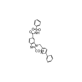 O=C(NS(=O)(=O)c1ccccc1)c1ccc2nc(C(=O)O)n(Cc3ccc(-c4ccccc4)cc3)c2c1